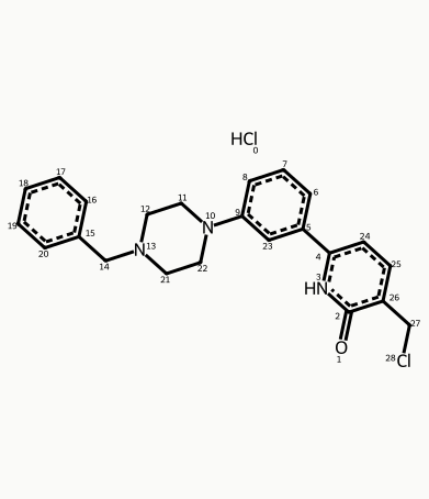 Cl.O=c1[nH]c(-c2cccc(N3CCN(Cc4ccccc4)CC3)c2)ccc1CCl